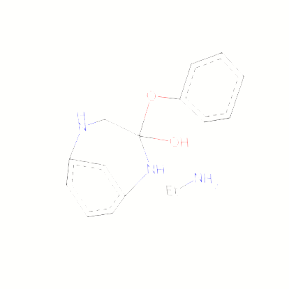 CCN.OC1(Oc2ccccc2)CNc2cccc(c2)N1